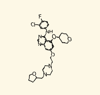 Fc1ccc(Nc2ncnc3cc(OCCN4CCN(CC5CCCO5)CC4)cc(OC4CCOCC4)c23)cc1Cl